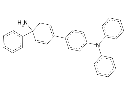 NC1(c2ccccc2)C=CC(c2ccc(N(c3ccccc3)c3ccccc3)cc2)=CC1